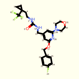 O=C(NCCC1(C(F)(F)F)CC1)NCc1cc(OCc2ccc(F)cc2)nc(N2CCOCC2)c1